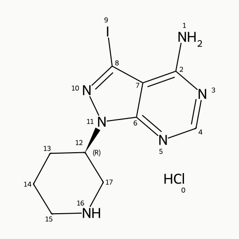 Cl.Nc1ncnc2c1c(I)nn2[C@@H]1CCCNC1